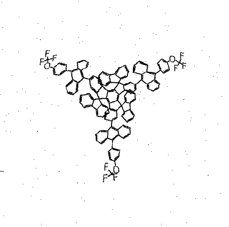 FC(F)(F)Oc1ccc(-c2c3ccccc3c(-c3ccc4c(c3)C3(c5ccccc5-c5ccccc53)c3c-4c4c(c5c3-c3ccc(-c6c7ccccc7c(-c7ccc(OC(F)(F)F)cc7)c7ccccc67)cc3C53c5ccccc5-c5ccccc53)-c3ccc(-c5c6ccccc6c(-c6ccc(OC(F)(F)F)cc6)c6ccccc56)cc3C43c4ccccc4-c4ccccc43)c3ccccc23)cc1